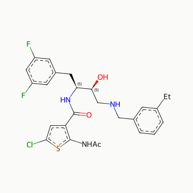 CCc1cccc(CNC[C@H](O)[C@H](Cc2cc(F)cc(F)c2)NC(=O)c2cc(Cl)sc2NC(C)=O)c1